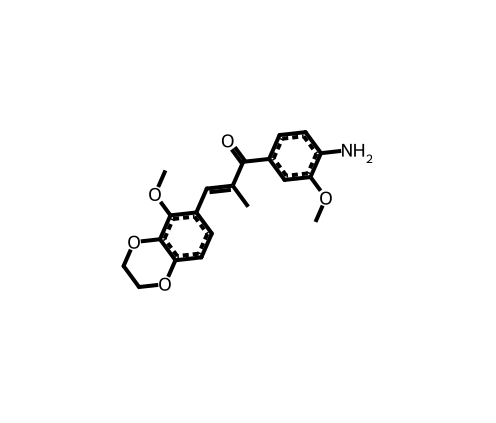 COc1cc(C(=O)/C(C)=C/c2ccc3c(c2OC)OCCO3)ccc1N